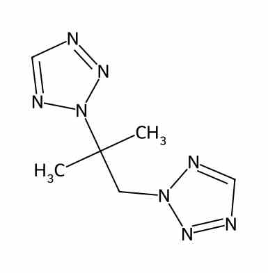 CC(C)(Cn1ncnn1)n1ncnn1